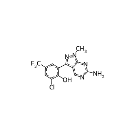 Cn1nc(-c2cc(C(F)(F)F)cc(Cl)c2O)c2cnc(N)nc21